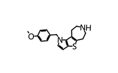 COc1ccc(Cn2ccc3sc4c(c32)CCNCC4)cc1